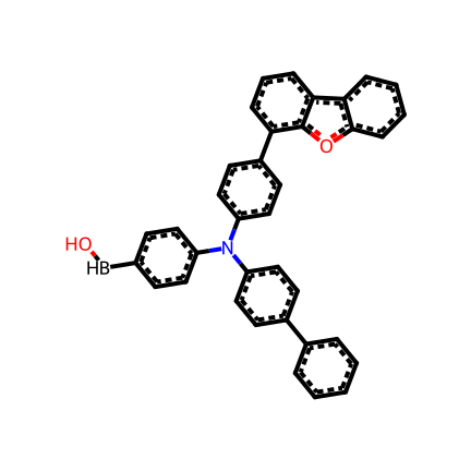 OBc1ccc(N(c2ccc(-c3ccccc3)cc2)c2ccc(-c3cccc4c3oc3ccccc34)cc2)cc1